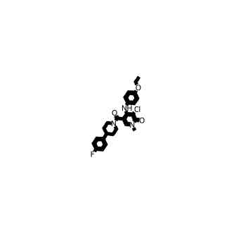 CCOc1ccc(Nc2c(C(=O)N3CCC(c4ccc(F)cc4)CC3)cn(C)c(=O)c2Cl)cc1